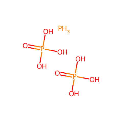 O=P(O)(O)O.O=P(O)(O)O.P